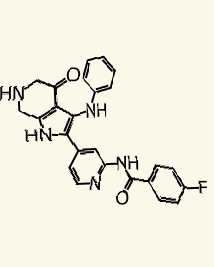 O=C(Nc1cc(-c2[nH]c3c(c2Nc2ccccc2)C(=O)CNC3)ccn1)c1ccc(F)cc1